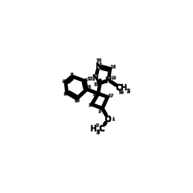 COC1CC(c2ccccc2)(c2nncn2C)C1